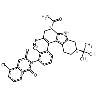 Cc1c(C2=C(F)C[C@H](C(N)=O)c3[nH]c4c(c32)CC[C@H](C(C)(C)O)C4)cccc1-n1c(=O)cc2c(Cl)cccn2c1=O